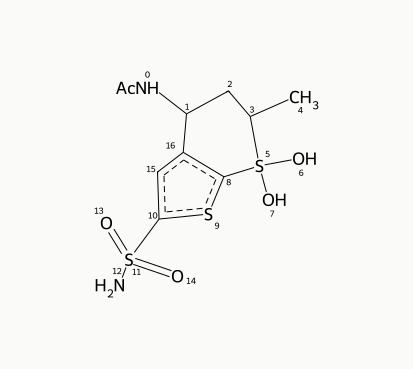 CC(=O)NC1CC(C)S(O)(O)c2sc(S(N)(=O)=O)cc21